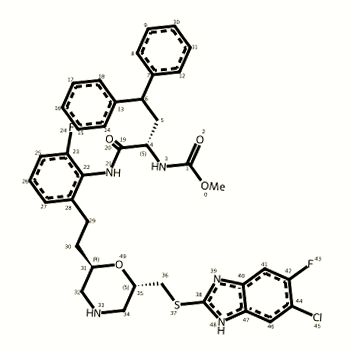 COC(=O)N[C@@H](CC(c1ccccc1)c1ccccc1)C(=O)Nc1c(F)cccc1CC[C@@H]1CNC[C@@H](CSc2nc3cc(F)c(Cl)cc3[nH]2)O1